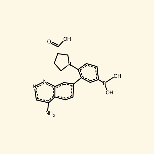 Nc1cnnc2cc(-c3cc(B(O)O)ccc3N3CCCC3)ccc12.O=CO